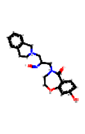 O=NC(CN1CCc2ccccc2C1)CN1CCOc2cc(O)ccc2C1=O